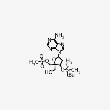 CC(C)(C)[Si](C)(C)OC1C[C@H](n2cnc3c(N)ncnc32)O[C@@]1(CO)COS(C)(=O)=O